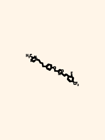 Cc1ncn(CCCCc2ccc(OCc3coc(/C=C/c4ccc(C(F)(F)F)cc4F)n3)cc2)n1